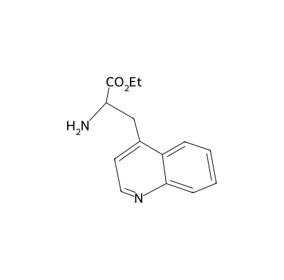 CCOC(=O)C(N)Cc1ccnc2ccccc12